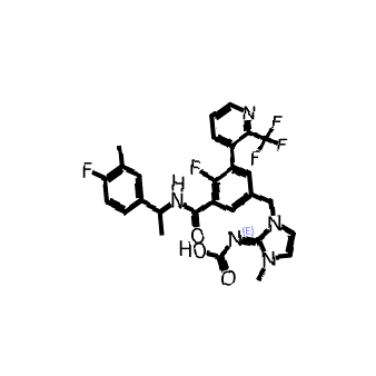 Cc1cc(C(C)NC(=O)c2cc(Cn3ccn(C)/c3=N\C(=O)O)cc(-c3cccnc3C(F)(F)F)c2F)ccc1F